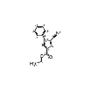 CCOC(=O)c1cc(C#N)n(-c2ccccc2)n1